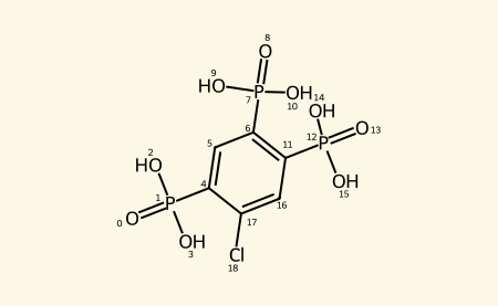 O=P(O)(O)c1cc(P(=O)(O)O)c(P(=O)(O)O)cc1Cl